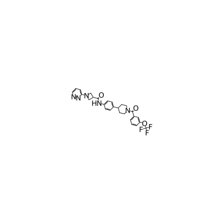 O=C(Nc1ccc(C2CCN(C(=O)c3cccc(OC(F)(F)F)c3)CC2)cc1)C1CN(c2cccnn2)C1